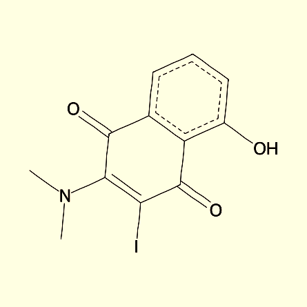 CN(C)C1=C(I)C(=O)c2c(O)cccc2C1=O